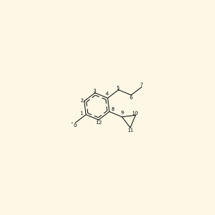 [CH2]c1ccc(CCC)c(C2CC2)c1